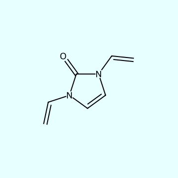 C=Cn1ccn(C=C)c1=O